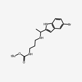 CC(NCCCNC(=O)OC(C)(C)C)c1cc2cc(Br)ccc2[nH]1